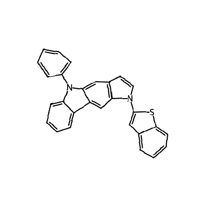 c1ccc(-n2c3ccccc3c3cc4c(ccn4-c4cc5ccccc5s4)cc32)cc1